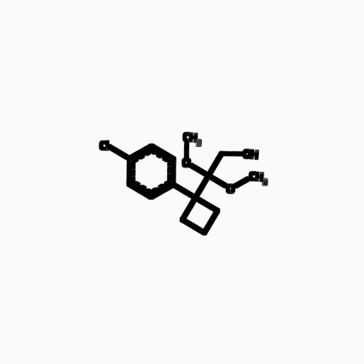 COC(CO)(OC)C1(c2ccc(Cl)cc2)CCC1